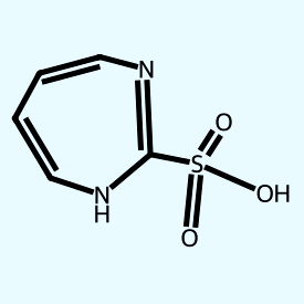 O=S(=O)(O)C1=NC=CC=CN1